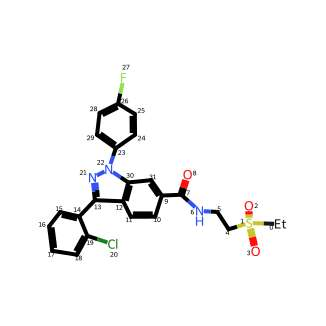 CCS(=O)(=O)CCNC(=O)c1ccc2c(-c3ccccc3Cl)nn(-c3ccc(F)cc3)c2c1